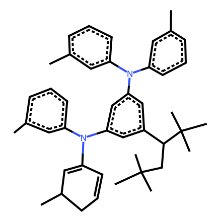 Cc1cccc(N(C2=CC(C)CC=C2)c2cc(C(CC(C)(C)C)C(C)(C)C)cc(N(c3cccc(C)c3)c3cccc(C)c3)c2)c1